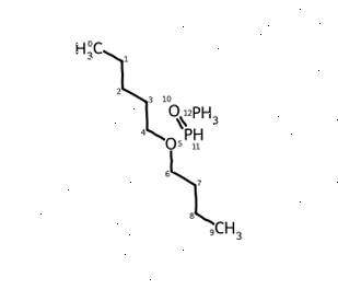 CCCCCOCCCC.O=P.P